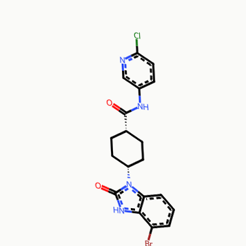 O=c1[nH]c2c(Br)cccc2n1[C@H]1CC[C@@H](C(=O)Nc2ccc(Cl)nc2)CC1